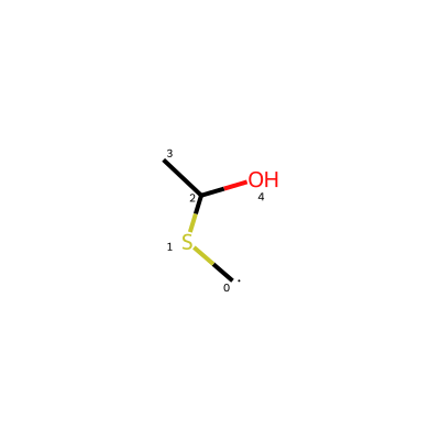 [CH2]SC(C)O